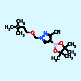 CC1(C)OB(c2cn(COCC[Si](C)(C)C)nc2C#N)OC1(C)C